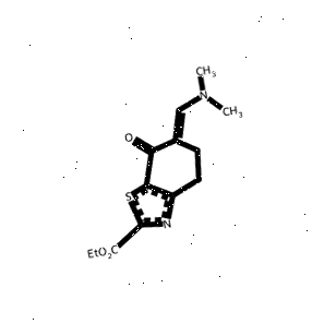 CCOC(=O)c1nc2c(s1)C(=O)C(=CN(C)C)CC2